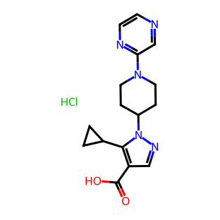 Cl.O=C(O)c1cnn(C2CCN(c3cnccn3)CC2)c1C1CC1